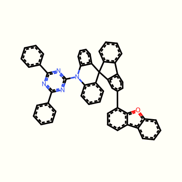 c1ccc(-c2nc(-c3ccccc3)nc(N3c4ccccc4C4(c5ccccc5-c5ccc(-c6cccc7c6oc6ccccc67)cc54)c4ccccc43)n2)cc1